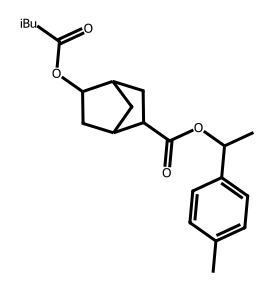 CCC(C)C(=O)OC1CC2CC1CC2C(=O)OC(C)c1ccc(C)cc1